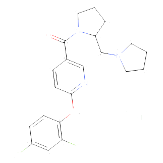 Cl.Cl.O=C(c1ccc(Oc2ccc(F)cc2F)nc1)N1CCCC1CN1CCCC1